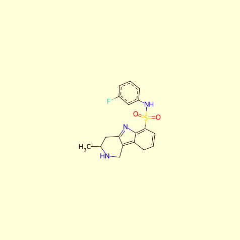 CC1CC2=NC3=C(S(=O)(=O)Nc4cccc(F)c4)C=CCC3=C2CN1